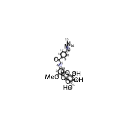 COc1cc(/C=C/C(=O)c2ccc(/N=N/N(C)C)cc2)ccc1O[C@H]1O[C@@H](CO)[C@H](O)[C@@H](O)[C@@H]1O